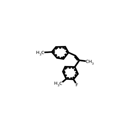 CC(=Cc1ccc(C)cc1)c1ccc(C)c(F)c1